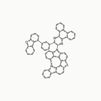 c1cc(-c2nc3c4ccccc4c4ccccc4c3nc2-n2c3ccc4sc5ccc6c7ccccc7n7c8cccc2c8c3c4c5c67)cc(-c2cccc3oc4ccccc4c23)c1